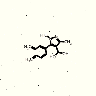 C=C/C=C\C(=C/C=C)c1c(C(O)O)c(C)nn1C